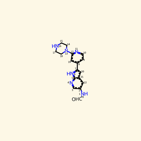 O=CNc1cnc2[nH]c(-c3ccnc(N4CCNCC4)c3)cc2c1